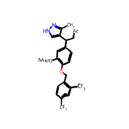 COc1cc(C(CC(C)=O)c2c[nH]nc2C)ccc1OCc1ccc(C(F)(F)F)cc1C(F)(F)F